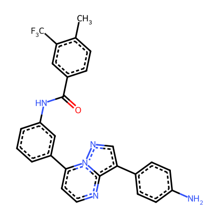 Cc1ccc(C(=O)Nc2cccc(-c3ccnc4c(-c5ccc(N)cc5)cnn34)c2)cc1C(F)(F)F